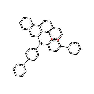 c1ccc(-c2ccc(N(c3ccc(-c4ccccc4)cc3)c3cc4ccccc4c4ccc5ccccc5c34)cc2)cc1